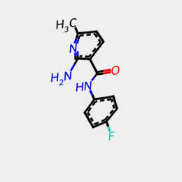 Cc1ccc(C(=O)Nc2ccc(F)cc2)c(N)n1